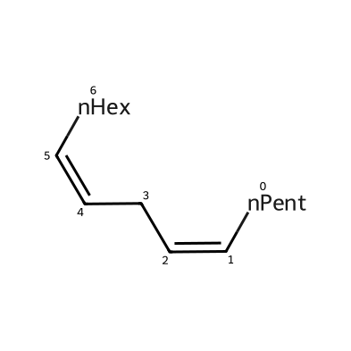 CCCCC/C=C\C/C=C\CCCCCC